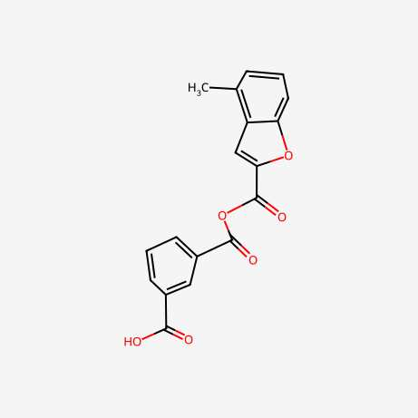 Cc1cccc2oc(C(=O)OC(=O)c3cccc(C(=O)O)c3)cc12